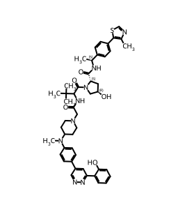 Cc1ncsc1-c1ccc([C@H](C)NC(=O)[C@@H]2C[C@@H](O)CN2C(=O)C(NC(=O)CN2CCC(N(C)c3ccc(-c4cnnc(-c5ccccc5O)c4)cc3)CC2)C(C)(C)C)cc1